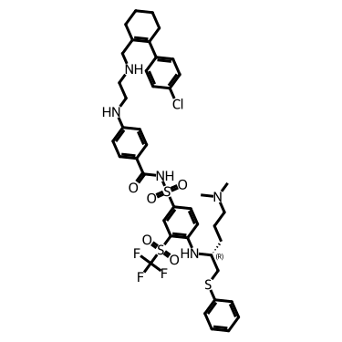 CN(C)CCC[C@H](CSc1ccccc1)Nc1ccc(S(=O)(=O)NC(=O)c2ccc(NCCNCC3=C(c4ccc(Cl)cc4)CCCC3)cc2)cc1S(=O)(=O)C(F)(F)F